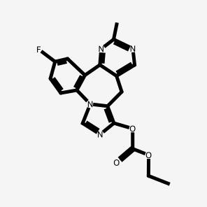 CCOC(=O)Oc1ncn2c1Cc1cnc(C)nc1-c1cc(F)ccc1-2